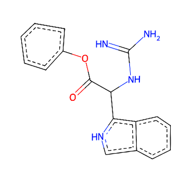 N=C(N)NC(C(=O)Oc1ccccc1)c1[nH]cc2ccccc12